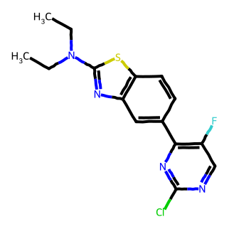 CCN(CC)c1nc2cc(-c3nc(Cl)ncc3F)ccc2s1